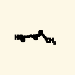 CCCCCC1OC1C=CC(=O)CCCCCCCC(=O)O